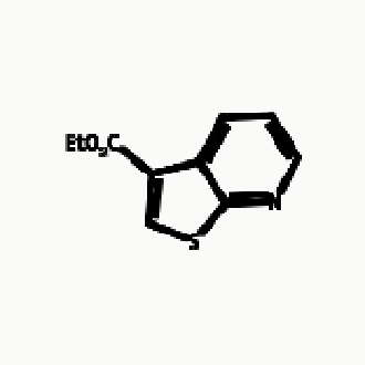 CCOC(=O)c1csc2ncccc12